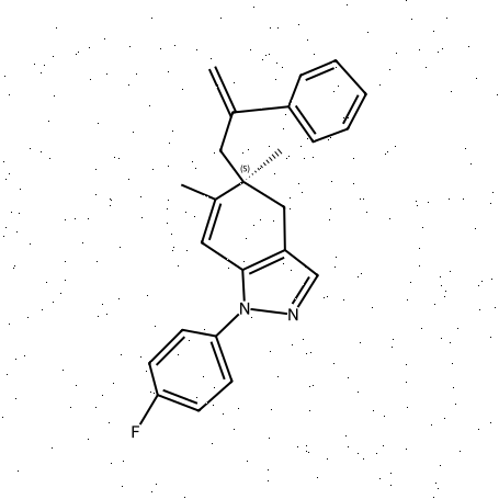 C=C(C[C@@]1(C)Cc2cnn(-c3ccc(F)cc3)c2C=C1C)c1ccccc1